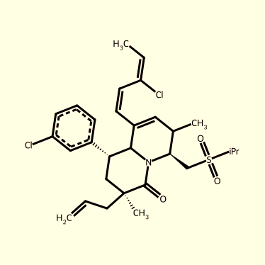 C=CC[C@@]1(C)C[C@H](c2cccc(Cl)c2)C2C(/C=C\C(Cl)=C/C)=CC(C)[C@@H](CS(=O)(=O)C(C)C)N2C1=O